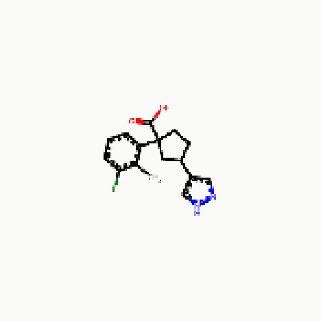 Cc1c(F)cccc1C1(C(=O)O)CCC(c2cn[nH]c2)C1